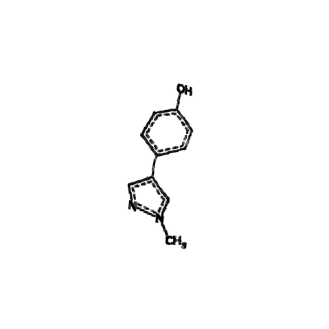 Cn1cc(-c2ccc(O)cc2)cn1